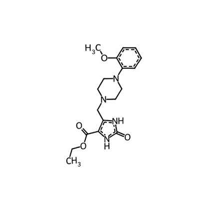 CCOC(=O)c1[nH]c(=O)[nH]c1CN1CCN(c2ccccc2OC)CC1